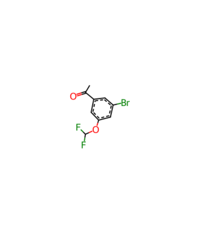 CC(=O)c1cc(Br)cc(OC(F)F)c1